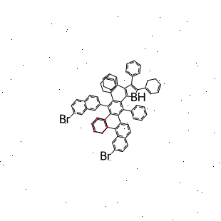 Brc1ccc2ccc(-c3c(C4=CC=CCC4)c(C4=C(C5=CC=CCC5)C(c5ccccc5)=C(C5=CC=CCC5)B4)c(-c4ccccc4)c(-c4ccc5ccc(Br)cc5c4C4=CC=CCC4)c3C3=CC=CCC3)cc2c1